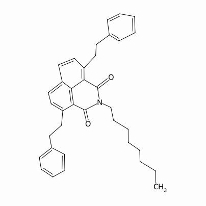 CCCCCCCCN1C(=O)c2c(CCc3ccccc3)ccc3ccc(CCc4ccccc4)c(c23)C1=O